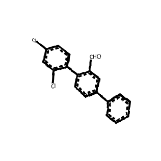 O=Cc1cc(-c2ccccc2)ccc1-c1ccc(Cl)cc1Cl